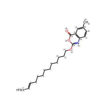 CCCCCCC=CCCCCCCCCCCOc1nc2ccc(C)cc2c(=O)o1